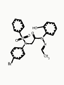 CC=NN(C(=O)CN(c1ccc(Br)cc1)S(=O)(=O)c1ccccc1)c1ccccc1O